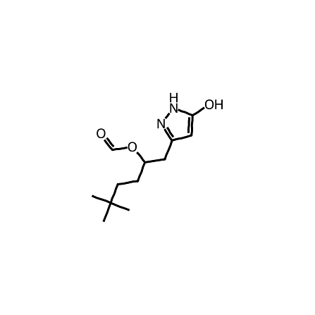 CC(C)(C)CCC(Cc1cc(O)[nH]n1)OC=O